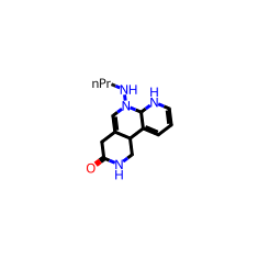 CCCNN1C=C2CC(=O)NCC2C2=CC=CNC21